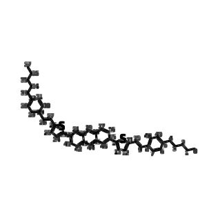 CCCCCc1ccc(/C=C/c2ccc(-c3ccc4cc5cc(-c6ccc(/C=C/c7ccc(CCCCC)cc7)s6)ccc5cc4c3)s2)cc1